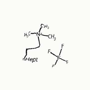 CCCCCCCCC[N+](C)(C)C.F[B-](F)(F)F